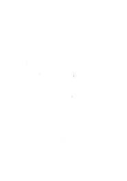 O=c1ccc2cc3c(cc2o1)OC=CC3